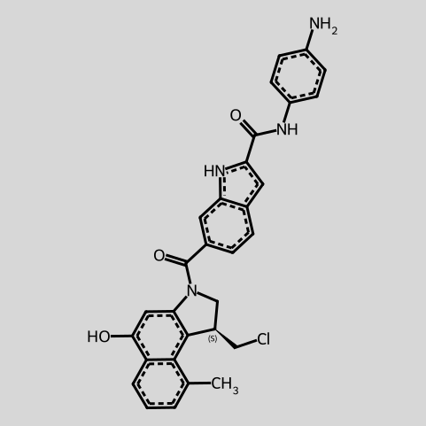 Cc1cccc2c(O)cc3c(c12)[C@H](CCl)CN3C(=O)c1ccc2cc(C(=O)Nc3ccc(N)cc3)[nH]c2c1